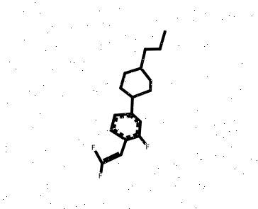 CCCC1CCC(c2ccc(C=C(F)F)c(F)c2)CC1